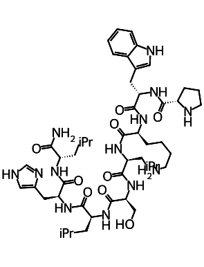 CC(C)C[C@H](NC(=O)[C@H](Cc1c[nH]cn1)NC(=O)[C@H](CC(C)C)NC(=O)[C@H](CO)NC(=O)[C@H](CC(C)C)NC(=O)[C@H](CCCCN)NC(=O)[C@H](Cc1c[nH]c2ccccc12)NC(=O)[C@@H]1CCCN1)C(N)=O